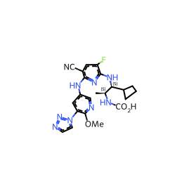 COc1ncc(Nc2nc(N[C@@H](C3CCC3)[C@H](C)NC(=O)O)c(F)cc2C#N)cc1-n1ccnn1